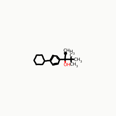 C#CC(O)(c1ccc(C2CCCCC2)cc1)C(C)(C)C